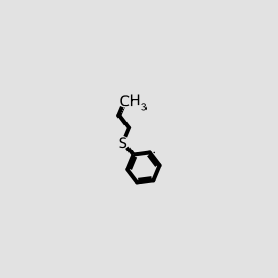 CCCSc1[c]cccc1